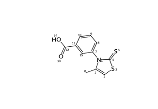 Cc1csc(=S)n1-c1cccc(C(=O)O)c1